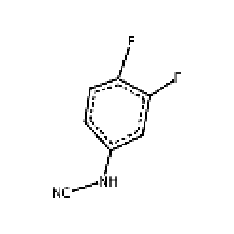 N#CNc1ccc(F)c(F)c1